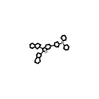 c1ccc(N(c2ccccc2)c2ccc(-c3ccc4c(-c5ccc6ccccc6c5)c(-c5ccc6ccccc6c5)oc4c3)cc2)cc1